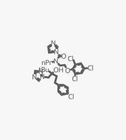 CC(C)(C)C(O)(CCc1ccc(Cl)cc1)Cn1cncn1.CCCN(CCOc1c(Cl)cc(Cl)cc1Cl)C(=O)n1ccnc1